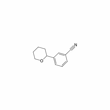 N#Cc1cccc(C2CCCCO2)c1